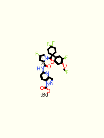 CC(C)(C)OC(=O)n1ncc2nc(NC(=O)[C@H]3C[C@@H](F)CN3C(=O)C3(c4ccc(OCF)c(F)c4)CCC(F)(F)CC3)ccc21